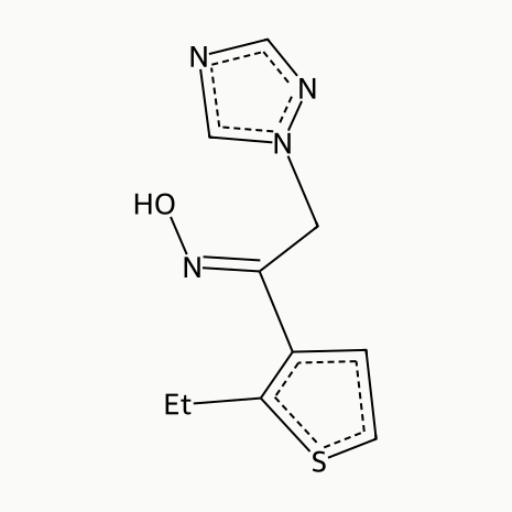 CCc1sccc1C(Cn1cncn1)=NO